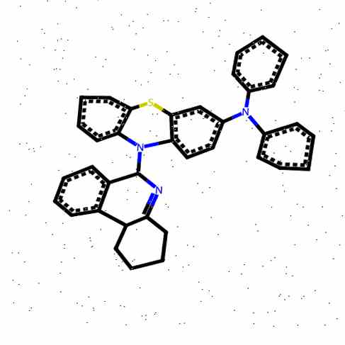 c1ccc(N(c2ccccc2)c2ccc3c(c2)Sc2ccccc2N3C2N=C3CCCCC3c3ccccc32)cc1